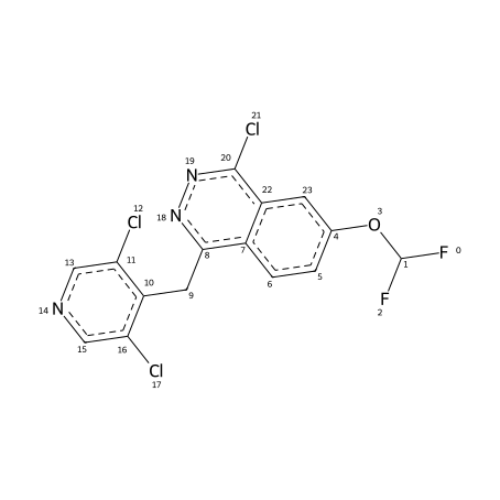 FC(F)Oc1ccc2c(Cc3c(Cl)cncc3Cl)nnc(Cl)c2c1